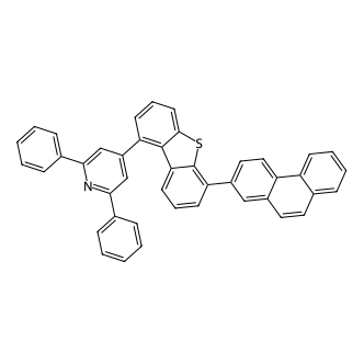 c1ccc(-c2cc(-c3cccc4sc5c(-c6ccc7c(ccc8ccccc87)c6)cccc5c34)cc(-c3ccccc3)n2)cc1